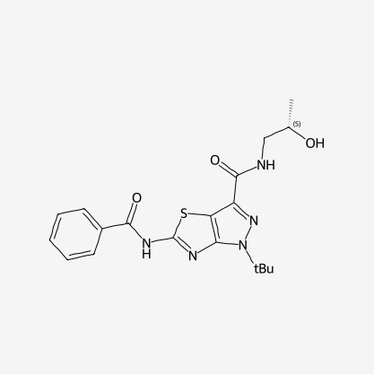 C[C@H](O)CNC(=O)c1nn(C(C)(C)C)c2nc(NC(=O)c3ccccc3)sc12